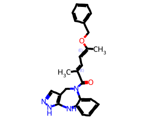 C/C(=C\C=C(/C)C(=O)N1Cc2cn[nH]c2Nc2ccccc21)OCc1ccccc1